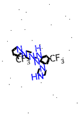 FC(F)(F)c1cc(N2CCNCC2)c2nc(N3CCN(c4ncccc4C(F)(F)F)CC3)[nH]c2c1